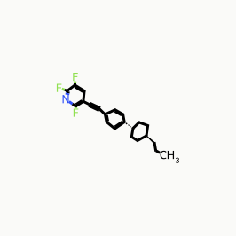 CCC[C@H]1CC[C@H](c2ccc(C#Cc3cc(F)c(F)nc3F)cc2)CC1